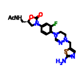 CC(=O)NC[C@H]1CN(c2ccc(N3C=NN(Cc4cnc(N)s4)CC3)c(F)c2)C(=O)O1